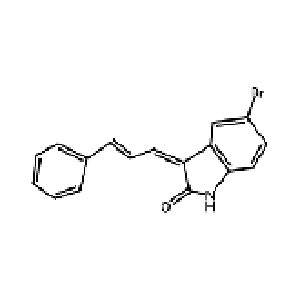 O=C1Nc2ccc(Br)cc2/C1=C/C=C/c1ccccc1